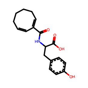 O=C(NC(Cc1ccc(O)cc1)C(=O)O)C1=CCCCCC=C1